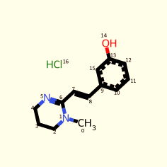 CN1CCCN=C1/C=C/c1cccc(O)c1.Cl